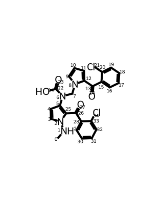 CNn1ccc(N(Cn2cccc2C(=O)c2ccccc2Cl)C(=O)O)c1C(=O)c1ccccc1Cl